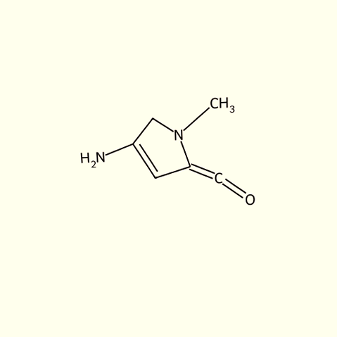 CN1CC(N)=CC1=C=O